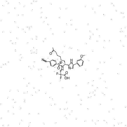 COc1cccc(-c2cnc([C@H](CCCCCC(C)=O)NS(=O)(=O)c3ccc(C#N)cc3)[nH]2)c1.O=C(O)C(F)(F)F